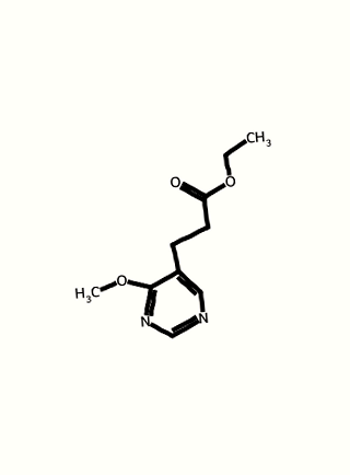 CCOC(=O)CCc1cncnc1OC